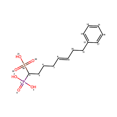 O=P(O)(O)C(CCC/C=C/CCc1ccccc1)S(=O)(=O)O